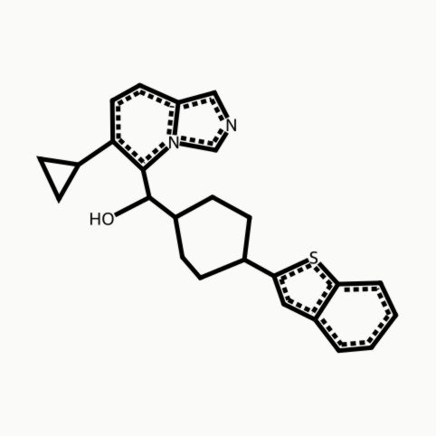 OC(c1c(C2CC2)ccc2cncn12)C1CCC(c2cc3ccccc3s2)CC1